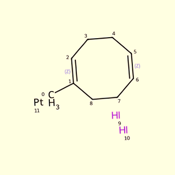 C/C1=C/CC/C=C\CC1.I.I.[Pt]